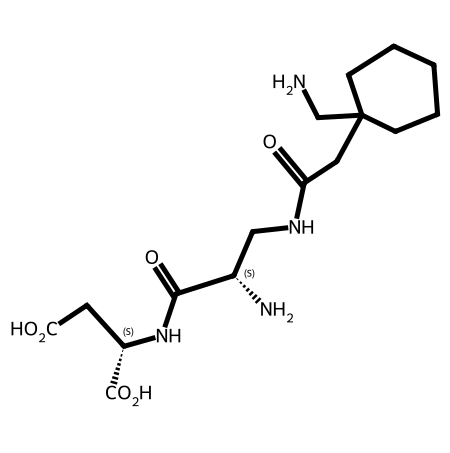 NCC1(CC(=O)NC[C@H](N)C(=O)N[C@@H](CC(=O)O)C(=O)O)CCCCC1